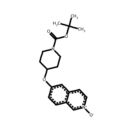 CC(C)(C)OC(=O)N1CCC(Oc2ccc3c[n+]([O-])ccc3c2)CC1